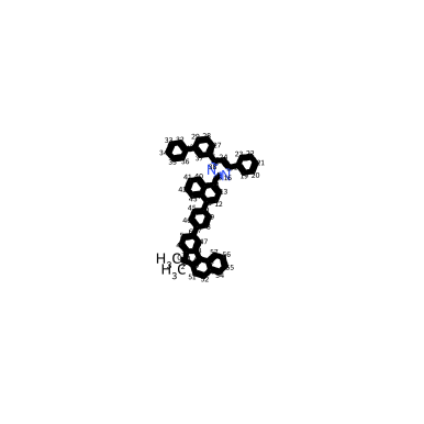 CC1(C)c2ccc(-c3ccc(-c4ccc(-c5nc(-c6ccccc6)cc(-c6cccc(-c7ccccc7)c6)n5)c5ccccc45)cc3)cc2-c2c1ccc1ccccc21